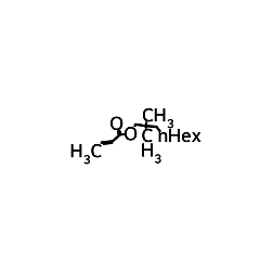 C/C=C/C(=O)OCC(C)(C)CCCCCCC